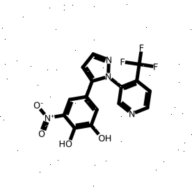 O=[N+]([O-])c1cc(-c2ccnn2-c2cnccc2C(F)(F)F)cc(O)c1O